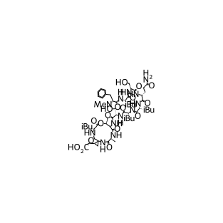 CC[C@H](C)[C@H](NC(=O)[C@@H](Cc1ccccc1)NC)C(=O)N[C@@H](CO)C(=O)N[C@H](CCC(N)=O)C(=O)N[C@@H](C(=O)N[C@H](C(=O)N[C@@H](CO)C(=O)N[C@H]1C(=O)N[C@@H](C)C(=O)NC2(CC2CC(=O)O)C(=O)N[C@@H]([C@@H](C)CC)C(=O)O[C@H]1C)[C@@H](C)CC)[C@@H](C)CC